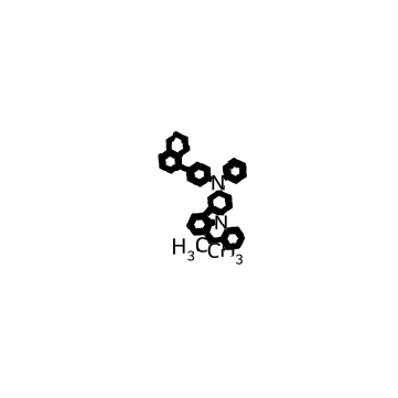 CC1(C)c2ccccc2-n2c3c(c4cccc1c42)CC(N(c1ccccc1)c1ccc(-c2cccc4c2C=CCC4)cc1)C=C3